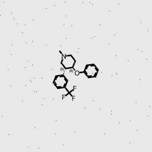 CN1CC[C@@H](Oc2ccccc2)[C@H](c2cccc(C(F)(F)F)c2)C1